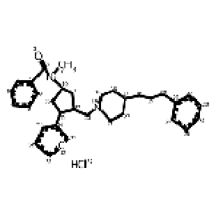 CN(C(=O)c1ccccc1)C1CC(CN2CCC(CCCc3ccccc3)CC2)C(c2ccccc2)C1.Cl